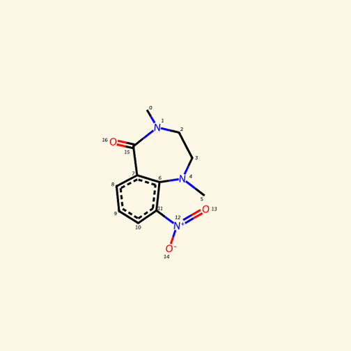 CN1CCN(C)c2c(cccc2[N+](=O)[O-])C1=O